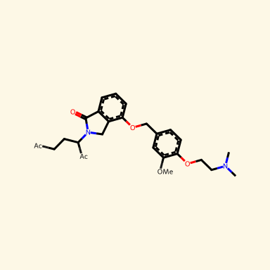 COc1cc(COc2cccc3c2CN(C(CCC(C)=O)C(C)=O)C3=O)ccc1OCCN(C)C